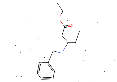 CCOC(=O)CC(CC)NCc1ccccc1